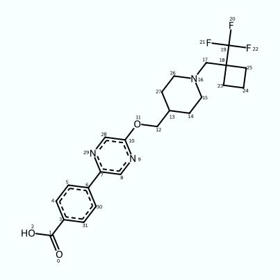 O=C(O)c1ccc(-c2cnc(OCC3CCN(CC4(C(F)(F)F)CCC4)CC3)cn2)cc1